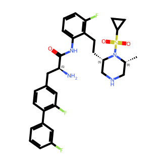 C[C@@H]1CNC[C@H](CCc2c(F)cccc2NC(=O)[C@@H](N)Cc2ccc(-c3cccc(F)c3)c(F)c2)N1S(=O)(=O)C1CC1